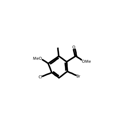 COC(=O)c1c(Br)cc(Cl)c(OC)c1C